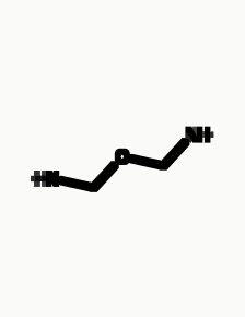 [NH]COC[NH]